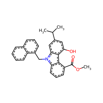 COC(=O)c1cccc2c1c1c(O)cc(C(C)C)cc1n2Cc1cccc2ccccc12